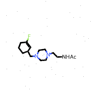 CC(=O)NCCN1CCN(CC2C=C(F)CCC2)CC1